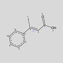 O=C(O)/C=C(\I)c1ccccc1